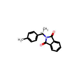 Cc1ccc([C@H](C)N2C(=O)c3ccccc3C2=O)cc1